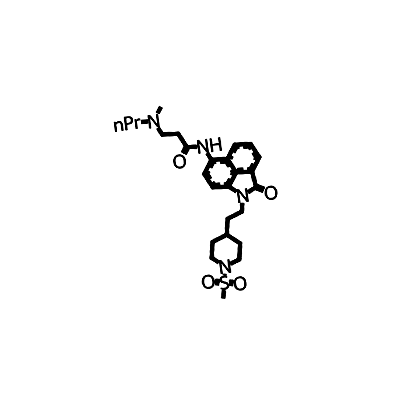 CCCN(C)CCC(=O)Nc1ccc2c3c(cccc13)C(=O)N2CCC1CCN(S(C)(=O)=O)CC1